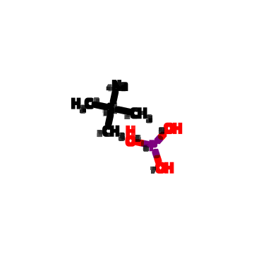 C[Si](C)(C)[Na].OP(O)O